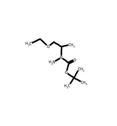 CCOCC(C)N(N)C(=O)OC(C)(C)C